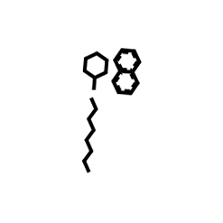 CC1CCCCC1.CCCCCCCC.c1ccc2ccccc2c1